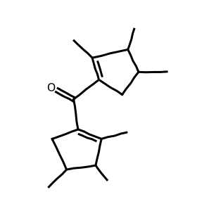 CC1=C(C(=O)C2=C(C)C(C)C(C)C2)CC(C)C1C